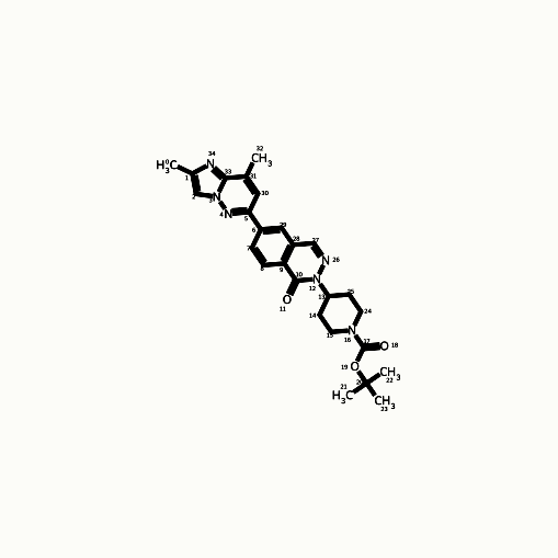 Cc1cn2nc(-c3ccc4c(=O)n(C5CCN(C(=O)OC(C)(C)C)CC5)ncc4c3)cc(C)c2n1